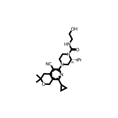 CC(C)[C@@H]1CN(c2nc(C3CC3)c3c(c2C#N)CC(C)(C)OC3)CCN1C(=O)NCCO